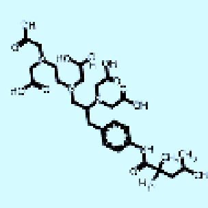 CC(C)CC(C)(C)C(=O)Nc1ccc(CC(CN(CCN(CC(=O)O)CC(=O)O)CC(O)O)N(CC(=O)O)CC(=O)O)cc1